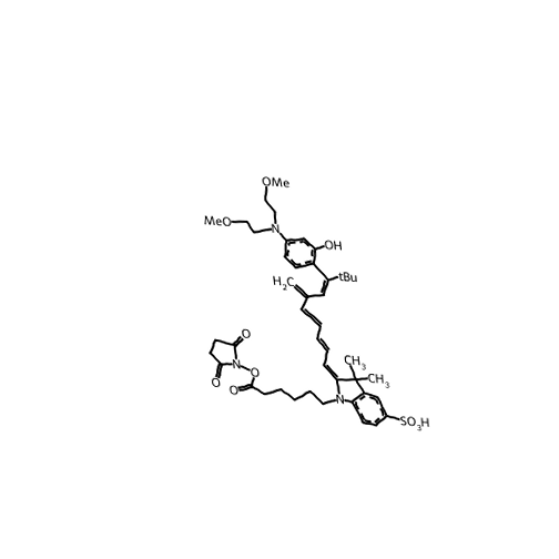 C=C(/C=C(\c1ccc(N(CCOC)CCOC)cc1O)C(C)(C)C)/C=C/C=C/C=C1/N(CCCCCC(=O)ON2C(=O)CCC2=O)c2ccc(S(=O)(=O)O)cc2C1(C)C